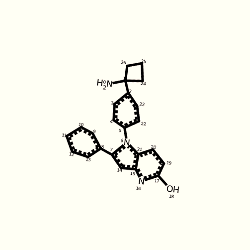 NC1(c2ccc(-n3c(-c4ccccc4)cc4nc(O)ccc43)cc2)CCC1